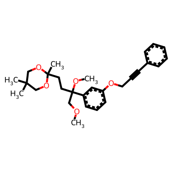 COCC(CCC1(C)OCC(C)(C)CO1)(OC)c1cccc(OCC#Cc2ccccc2)c1